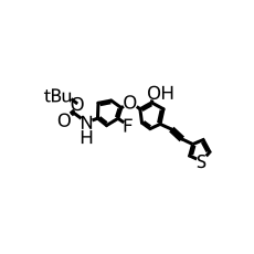 CC(C)(C)OC(=O)Nc1ccc(Oc2ccc(C#Cc3ccsc3)cc2O)c(F)c1